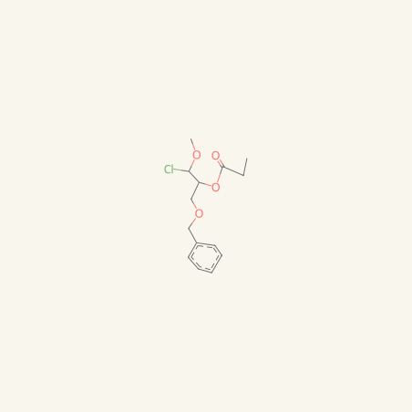 CCC(=O)OC(COCc1ccccc1)C(Cl)OC